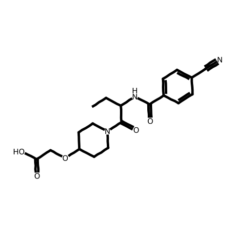 CCC(NC(=O)c1ccc(C#N)cc1)C(=O)N1CCC(OCC(=O)O)CC1